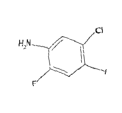 Nc1cc(Cl)c(I)cc1F